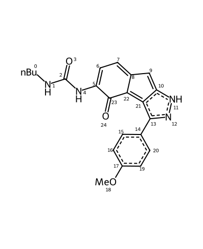 CCCCNC(=O)NC1=CC=C2C=c3[nH]nc(-c4ccc(OC)cc4)c3=C2C1=O